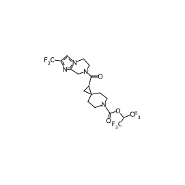 O=C(OC(C(F)(F)F)C(F)(F)F)N1CCC2(CC1)CC2C(=O)N1CCn2cc(C(F)(F)F)nc2C1